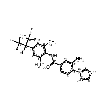 Cc1cc(C(F)(C(F)(F)F)C(F)(F)F)cc(C)c1NC(=O)c1ccc(-n2cncn2)c(N)c1